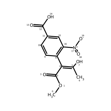 COC(=O)C(=C(C)O)c1ccc(C(=O)O)cc1[N+](=O)[O-]